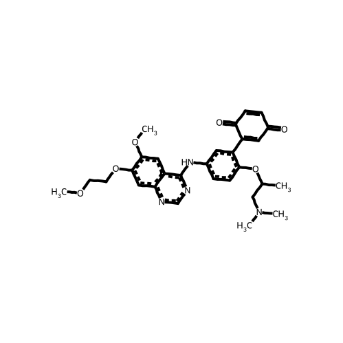 COCCOc1cc2ncnc(Nc3ccc(OC(C)CN(C)C)c(C4=CC(=O)C=CC4=O)c3)c2cc1OC